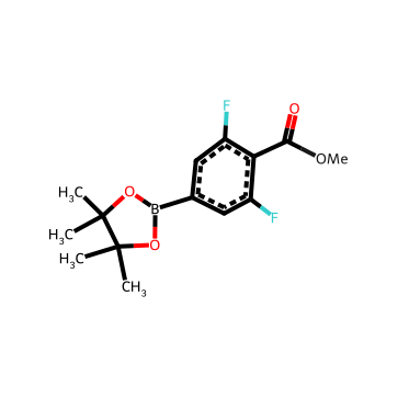 COC(=O)c1c(F)cc(B2OC(C)(C)C(C)(C)O2)cc1F